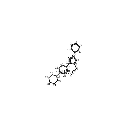 O=C(O)Cc1cn(-c2ccccc2)nc1-c1ccc(C2CCCCC2)cc1